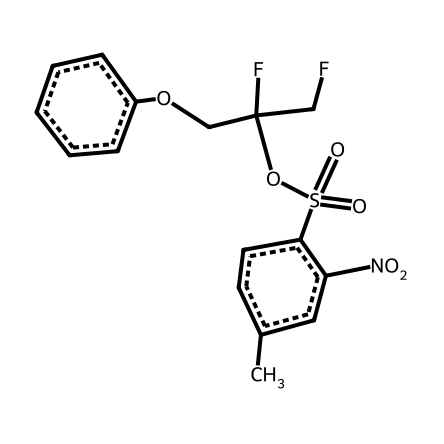 Cc1ccc(S(=O)(=O)OC(F)(CF)COc2ccccc2)c([N+](=O)[O-])c1